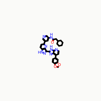 O=C(CC1CCCCC1)Nc1cncc(-c2ccc3[nH]nc(-c4nc5c(-c6ccc7c(c6)OCO7)ccnc5[nH]4)c3n2)c1